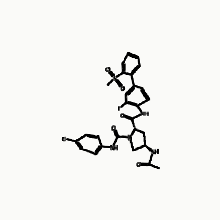 CC(=O)N[C@@H]1C[C@H](C(=O)Nc2ccc(-c3ccccc3S(C)(=O)=O)cc2F)N(C(=O)Nc2ccc(Cl)cc2)C1